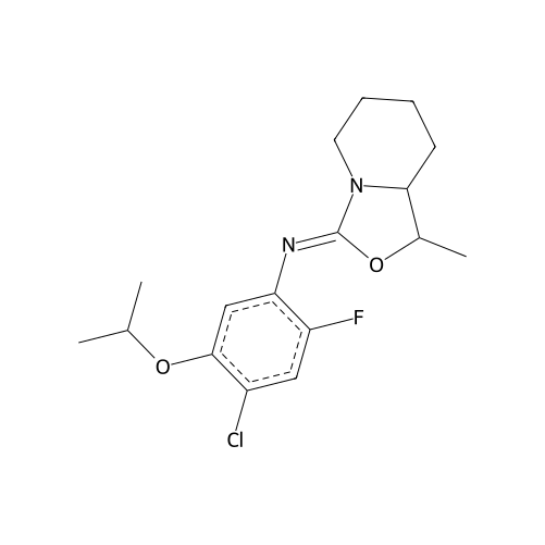 CC(C)Oc1cc(N=C2OC(C)C3CCCCN23)c(F)cc1Cl